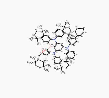 CC1(C)CCC(C)(C)C2Cc3oc4c(c3C=C21)N(c1ccc2c(c1)C(C)(C)CCC2(C)C)c1cc(N(c2ccccc2)c2ccc(C3C=CC=CC3)cc2)cc2c1B4c1cc3c(cc1N2c1ccc2c(c1)C(C)(C)CCC2(C)C)C(C)(C)CCC3(C)C